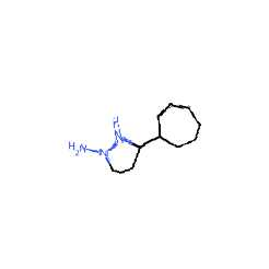 NN1CCC(C2CCCCCC2)N1